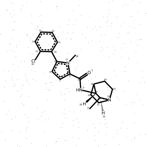 C[C@H]1[C@H](NC(=O)c2ccc(-c3ccccc3Cl)n2C)C2CCN1CC2